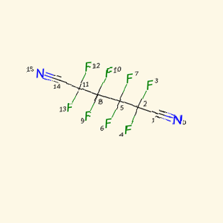 N#CC(F)(F)C(F)(F)C(F)(F)C(F)(F)C#N